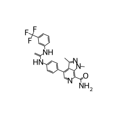 C=C(Nc1ccc(-c2cnc(C(N)=O)c3c2c(C)nn3C)cc1)Nc1cccc(C(F)(F)F)c1